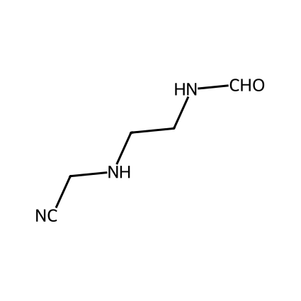 N#CCNCCNC=O